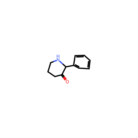 O=C1CCCNC1c1ccccc1